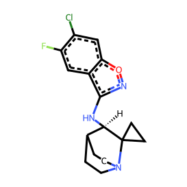 Fc1cc2c(N[C@@H]3C4CCN(CC4)C34CC4)noc2cc1Cl